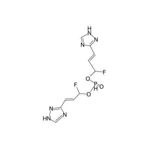 O=[PH](OC(F)/C=C/c1nc[nH]n1)OC(F)/C=C/c1nc[nH]n1